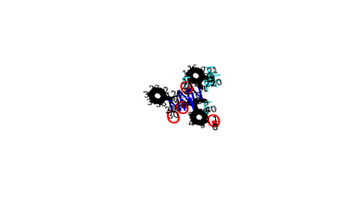 COc1cccc(-c2c(C)n(Cc3c(F)cccc3C(F)(F)F)c(=O)n(C[C@H](NC=O)c3ccccc3)c2=O)c1F